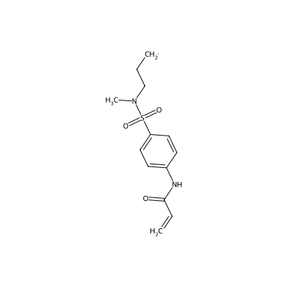 [CH2]CCN(C)S(=O)(=O)c1ccc(NC(=O)C=C)cc1